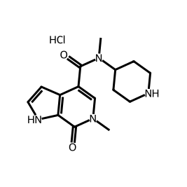 CN(C(=O)c1cn(C)c(=O)c2[nH]ccc12)C1CCNCC1.Cl